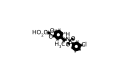 CC(NS(=O)(=O)c1cccc(Cl)c1)c1ccc2c(c1)OC(C(=O)O)O2